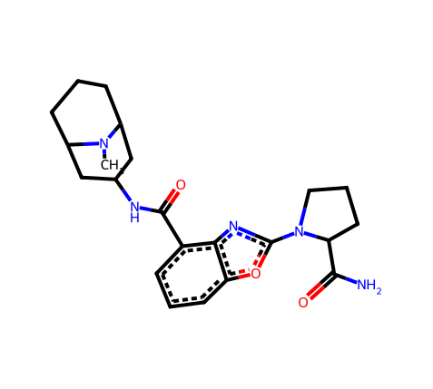 CN1C2CCCC1CC(NC(=O)c1cccc3oc(N4CCCC4C(N)=O)nc13)C2